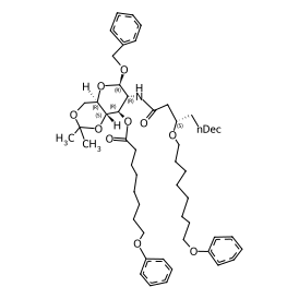 CCCCCCCCCCC[C@@H](CC(=O)N[C@H]1[C@H](OCc2ccccc2)O[C@@H]2COC(C)(C)O[C@H]2[C@@H]1OC(=O)CCCCCCCOc1ccccc1)OCCCCCCCCOc1ccccc1